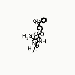 [C-]#[N+]C(=C1CCN(C(=O)C(=O)c2c[nH]c3c(OC)ncc(OC)c23)CC1)c1ccccc1